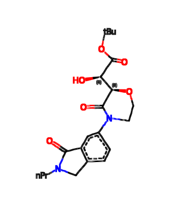 CCCN1Cc2ccc(N3CCO[C@H]([C@@H](O)C(=O)OC(C)(C)C)C3=O)cc2C1=O